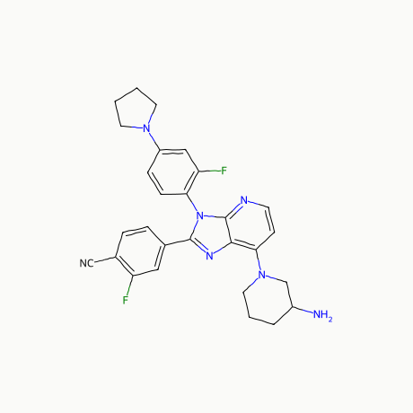 N#Cc1ccc(-c2nc3c(N4CCCC(N)C4)ccnc3n2-c2ccc(N3CCCC3)cc2F)cc1F